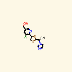 N#C/C(=C1/SCC(c2ncc(CO)cc2Cl)S1)n1ccnc1